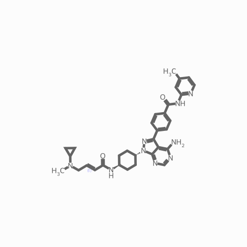 Cc1ccnc(NC(=O)c2ccc(-c3nn([C@H]4CC[C@H](NC(=O)/C=C/CN(C)C5CC5)CC4)c4ncnc(N)c34)cc2)c1